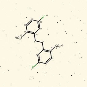 O=S(=O)(O)c1ccc(F)cc1CCc1cc(F)ccc1S(=O)(=O)O